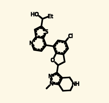 CCC(O)c1cc2nccc(-c3cc(Cl)cc4c3OC(c3nn(C)c5c3CNCC5)C4)c2s1